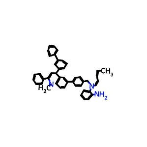 C=N/C(=C\C(c1cccc(-c2ccccc2)c1)c1cccc(-c2ccc(CN(/C=C\C=C/C)c3ccccc3N)cc2)c1)c1ccccc1